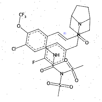 CS(=O)(=O)N(C(=O)Nc1cc(Cl)c(OC(F)(F)F)cc1/C=C/C(=O)N1C2CCC1CN(Cc1ccc(F)cc1)C2)S(C)(=O)=O